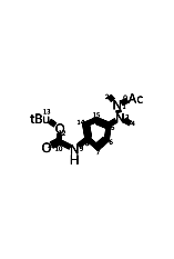 CC(=O)N(C)N(C)c1ccc(NC(=O)OC(C)(C)C)cc1